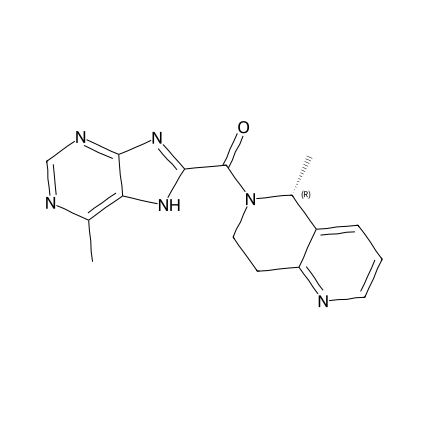 Cc1ncnc2nc(C(=O)N3CCc4ncccc4[C@H]3C)[nH]c12